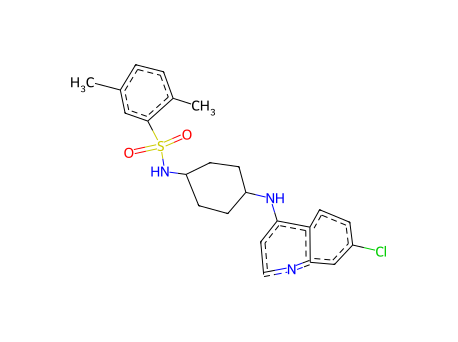 Cc1ccc(C)c(S(=O)(=O)NC2CCC(Nc3ccnc4cc(Cl)ccc34)CC2)c1